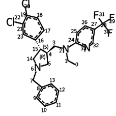 CCN(C[C@H]1CN(Cc2ccccc2)C[C@@H]1c1ccc(Cl)c(Cl)c1)c1ccc(C(F)(F)F)cn1